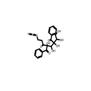 [N-]=[N+]=NCCC(=O)C(O)(C(=O)c1ccccc1)C(O)C(O)(C(=O)c1ccccc1)C(O)CO